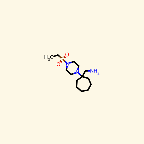 CCS(=O)(=O)N1CCN(C2(CN)CCCCCC2)CC1